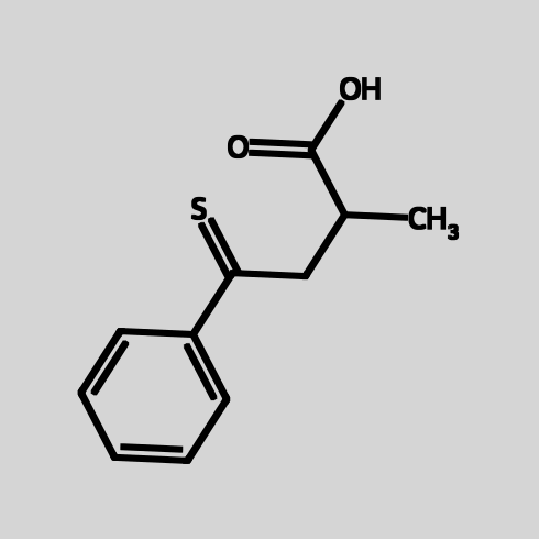 CC(CC(=S)c1ccccc1)C(=O)O